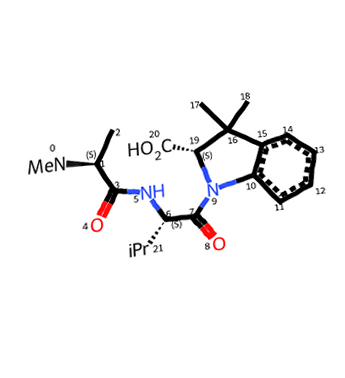 CN[C@@H](C)C(=O)N[C@H](C(=O)N1c2ccccc2C(C)(C)[C@H]1C(=O)O)C(C)C